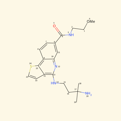 COCCNC(=O)c1ccc2c(c1)nc(NCCC(C)(C)N)c1ccsc12